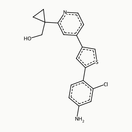 Nc1ccc(-c2cc(-c3ccnc(C4(CO)CC4)c3)cs2)c(Cl)c1